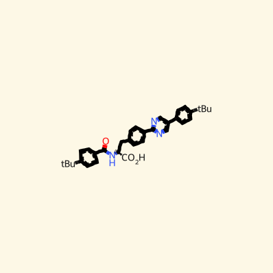 CC(C)(C)c1ccc(C(=O)N[C@@H](Cc2ccc(-c3ncc(-c4ccc(C(C)(C)C)cc4)cn3)cc2)C(=O)O)cc1